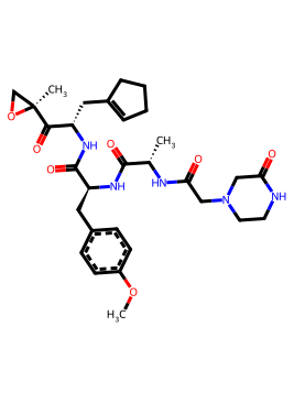 COc1ccc(C[C@H](NC(=O)[C@H](C)NC(=O)CN2CCNC(=O)C2)C(=O)N[C@@H](CC2=CCCC2)C(=O)[C@]2(C)CO2)cc1